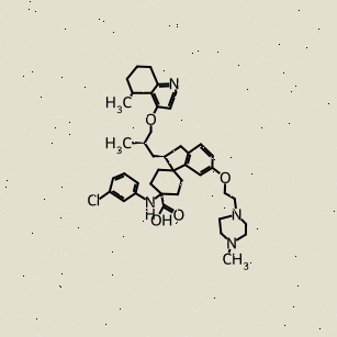 C[C@@H](COc1ccnc2c1[C@@H](C)CCC2)C[C@H]1Cc2ccc(OCCN3CCN(C)CC3)cc2C12CCC(Nc1cccc(Cl)c1)(C(=O)O)CC2